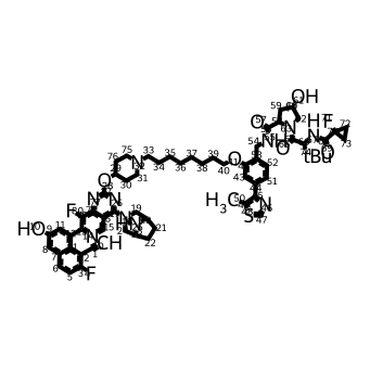 C#Cc1c(F)ccc2cc(O)cc(-c3ncc4c(N5CC6CCC(C5)N6)nc(OC5CCN(CCCCCCCCOc6cc(-c7ncsc7C)ccc6CNC(=O)C6C[C@@H](O)CN6C(=O)C(NC(=O)C6(F)CC6)C(C)(C)C)CC5)nc4c3F)c12